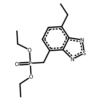 CCOP(=O)(Cc1ccc(CC)c2nsnc12)OCC